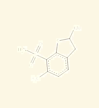 Cc1ccc2c(c1S(N)(=O)=O)SC(C(C)(C)C)C2